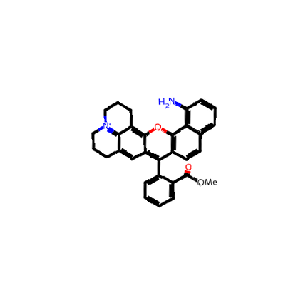 COC(=O)c1ccccc1C1=c2cc3c4c(c2Oc2c1ccc1cccc(N)c21)CCC[N+]=4CCC3